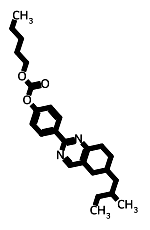 CCCCCOC(=O)Oc1ccc(-c2ncc3c(n2)CCC(CC(C)CC)C3)cc1